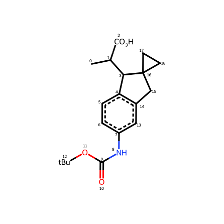 CC(C(=O)O)C1c2ccc(NC(=O)OC(C)(C)C)cc2CC12CC2